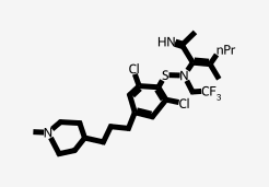 CCC/C(C)=C(\C(C)=N)N(CC(F)(F)F)Sc1c(Cl)cc(CCCC2CCN(C)CC2)cc1Cl